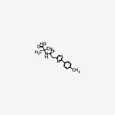 Cc1ccc(-c2nc(CC(=O)NC(C)(C)C(=O)O)cs2)cc1